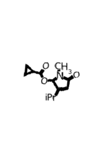 CC(C)C1=CC(=O)N(C)C1OC(=O)C1CC1